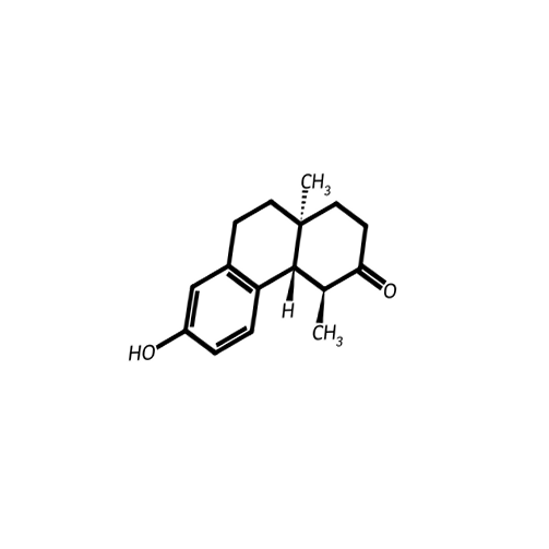 C[C@@H]1C(=O)CC[C@]2(C)CCc3cc(O)ccc3[C@@H]12